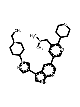 CCN1CCC(n2cc(-c3c[nH]c4ncc(-c5cnc(C6CCOCC6)c(CN(C)C)c5)cc34)cn2)CC1